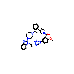 C=Cn1c(N2CCCN(CC[C@]3(c4ccccc4)CCN(C(=O)c4cc(-n5cnnn5)ccc4OC)C3)CC2)nc2ccccc21